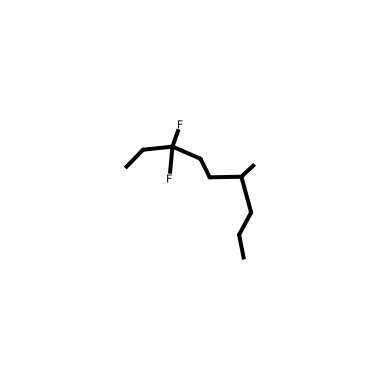 CCCC(C)CCC(F)(F)CC